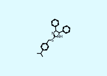 CC(C)c1ccc(CSC2=NC(c3ccccc3)C(c3ccccc3)N2)cc1